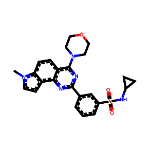 Cn1ccc2c3nc(-c4cccc(S(=O)(=O)NC5CC5)c4)nc(N4CCOCC4)c3ccc21